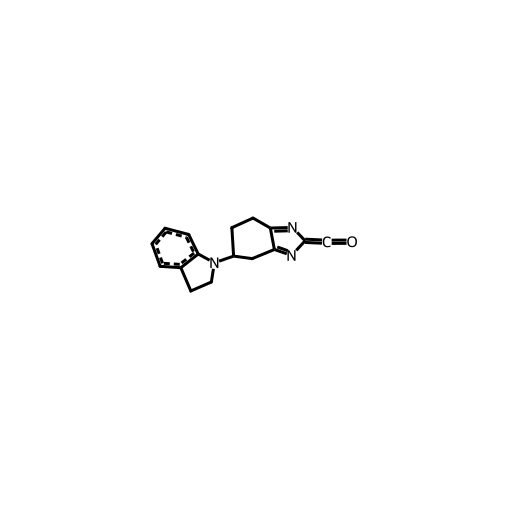 O=C=C1N=C2CCC(N3CCc4ccccc43)CC2=N1